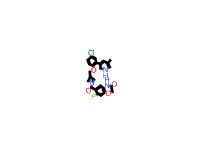 CC1=CNCC(c2cc(Cl)ccc2OCC2CN(C(=O)c3cc4c(cc3F)OCC(=O)N4)C2)=C1